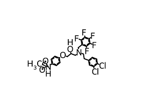 CS(=O)(=O)Nc1ccc(OCC(O)CN(CCc2ccc(Cl)c(Cl)c2)Cc2c(F)c(F)c(F)c(F)c2F)cc1